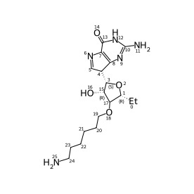 CC[C@H]1O[C@@H](C2C=Nc3c2nc(N)[nH]c3=O)[C@@H](O)C1OCCCCCCN